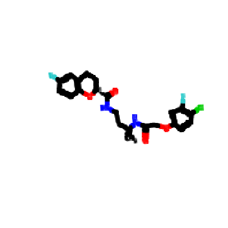 C=C(CCNC(=O)[C@H]1CCc2cc(F)ccc2O1)NC(=O)COc1ccc(Cl)c(F)c1